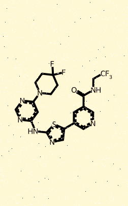 O=C(NCC(F)(F)F)c1cncc(-c2cnc(Nc3cc(N4CCC(F)(F)CC4)ncn3)s2)c1